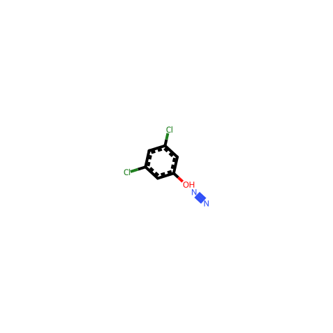 N#N.Oc1cc(Cl)cc(Cl)c1